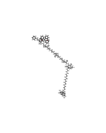 CC(C)(C)OC(=O)[C@H](CCC(=O)NCCOCCOCC(=O)NCCOCCOCC(=O)NCCCC[C@H](NC(=O)OCc1ccccc1)C(=O)OC(c1ccccc1)(c1ccccc1)c1ccccc1Cl)NC(=O)CCCCCCCCCCCCCCCCCCP(=O)(OC(C)(C)C)OC(C)(C)C